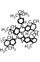 CC(C)(C)c1ccc(N2c3cc4c(cc3B3c5c2cc(C(C)(C)C)cc5N(c2ccc5c(c2)C(C)(C)CCC5(C)C)c2sc5cc6c(cc5c23)C2(C)CCC6(C)C2)C(C)(C)CCC4(C)C)cc1